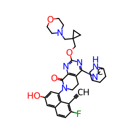 C#Cc1c(F)ccc2cc(O)cc(N3CCc4c(nc(OCC5(CN6CCOCC6)CC5)nc4N4CC5CCC4CN5)C3=O)c12